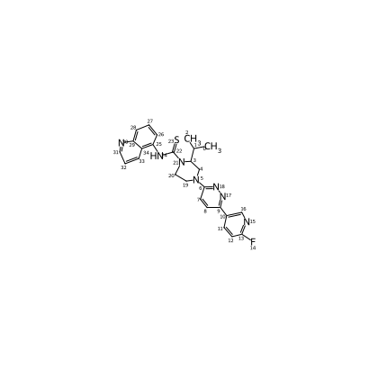 CC(C)C1CN(c2ccc(-c3ccc(F)nc3)nn2)CCN1C(=S)Nc1cccc2ncccc12